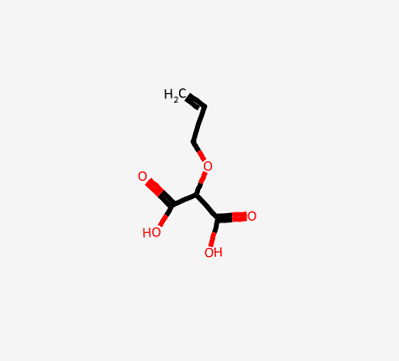 C=CCOC(C(=O)O)C(=O)O